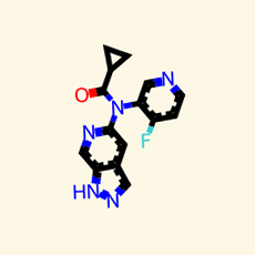 O=C(C1CC1)N(c1cc2cn[nH]c2cn1)c1cnccc1F